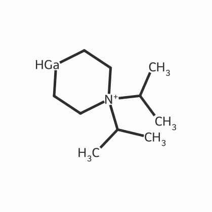 CC(C)[N+]1(C(C)C)C[CH2][GaH][CH2]C1